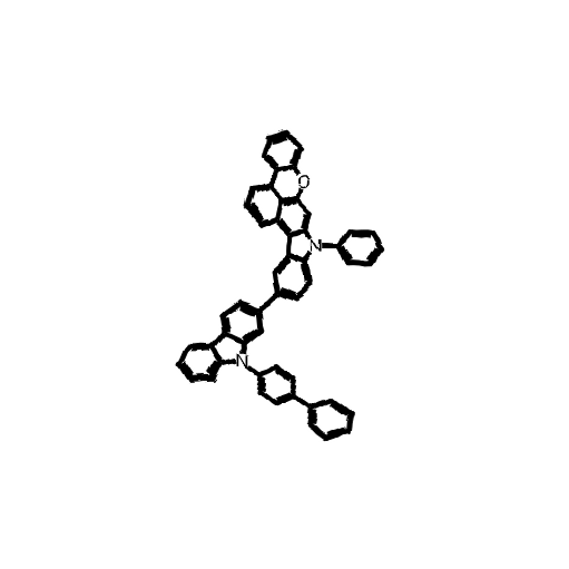 c1ccc(-c2ccc(-n3c4ccccc4c4ccc(-c5ccc6c(c5)c5c7cccc8c7c(cc5n6-c5ccccc5)Oc5ccccc5-8)cc43)cc2)cc1